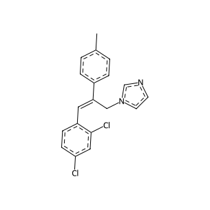 Cc1ccc(C(=Cc2ccc(Cl)cc2Cl)Cn2ccnc2)cc1